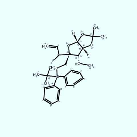 C=CC(F)[C@]1(CO[Si](c2ccccc2)(c2ccccc2)C(C)(C)C)O[C@@H]2OC(C)(C)O[C@@H]2[C@@H]1OC